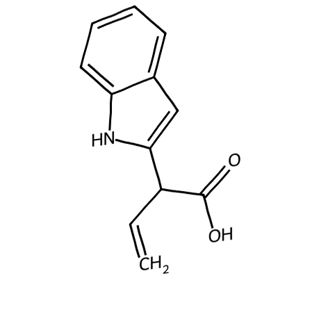 C=CC(C(=O)O)c1cc2ccccc2[nH]1